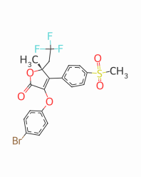 C[C@]1(CC(F)(F)F)OC(=O)C(Oc2ccc(Br)cc2)=C1c1ccc(S(C)(=O)=O)cc1